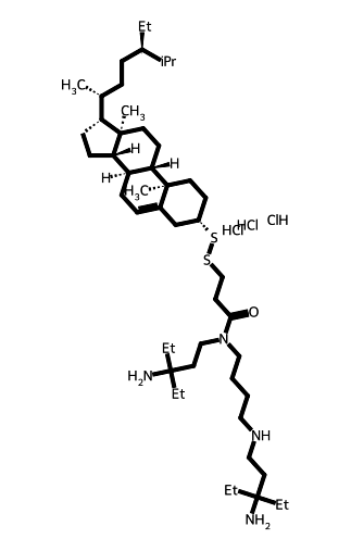 CC[C@H](CC[C@@H](C)[C@H]1CC[C@H]2[C@@H]3CC=C4C[C@@H](SSCCC(=O)N(CCCCNCCC(N)(CC)CC)CCC(N)(CC)CC)CC[C@]4(C)[C@H]3CC[C@]12C)C(C)C.Cl.Cl.Cl